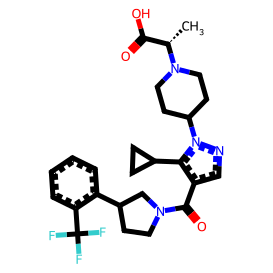 C[C@@H](C(=O)O)N1CCC(n2ncc(C(=O)N3CCC(c4ccccc4C(F)(F)F)C3)c2C2CC2)CC1